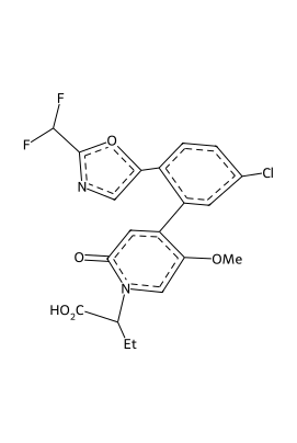 CCC(C(=O)O)n1cc(OC)c(-c2cc(Cl)ccc2-c2cnc(C(F)F)o2)cc1=O